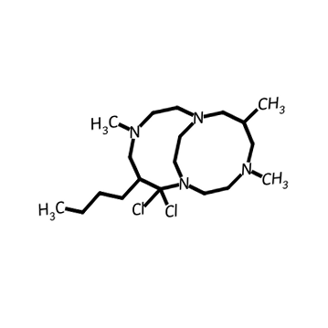 CCCCC1CN(C)CCN2CCN(CCN(C)CC(C)C2)C1(Cl)Cl